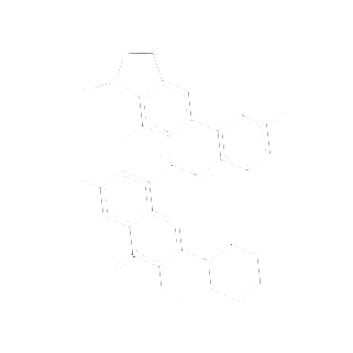 Cc1cc(C(C)Nc2ccc(Cl)nc2-c2cc(F)c3c(c2)COB3O)c2oc(N3CCCCC3)c(C)c(=O)c2c1